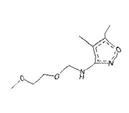 COCCOCNc1noc(C)c1C